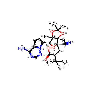 CC1(C)O[C@H]2[C@H](c3ccc4c(N)ncnn34)O[C@@](C#N)(CC(C(=O)O)C(C)(C)C)[C@H]2O1